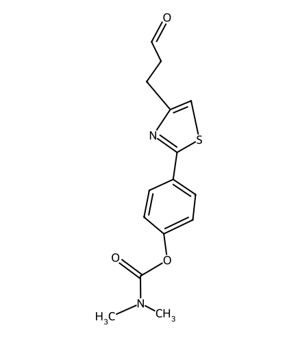 CN(C)C(=O)Oc1ccc(-c2nc(CCC=O)cs2)cc1